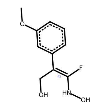 COc1cccc(/C(CO)=C(\F)NO)c1